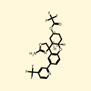 NC1=NC2(CO1)c1cc(-c3cc(C(F)(F)F)ccn3)ccc1O[C@H]1CC[C@H](OC(=O)C(F)(F)F)C[C@@H]12